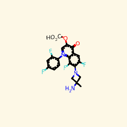 CC1(N)CN(c2c(F)cc3c(=O)c(OC(=O)O)cn(-c4ccc(F)cc4F)c3c2F)C1